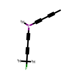 [2H]P(C#CC#CC)C#CC#CC([3H])([3H])F